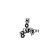 CC1(C)C(=O)N(c2ccc(SC(F)(F)F)cc2)C(=O)N1Cc1ccnc2ccccc12.O=C(O)C(F)(F)F